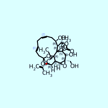 C=C(C)[C@]12C[C@@H](C)[C@]34OC5(C/C=C/C/C=C\C[C@@H](C)[C@@H]6[C@@H]3[C@]3(O[C@]6(C)OC3=O)[C@H](O)[C@@]3(CO)O[C@H]3[C@H]4[C@H]1O5)O2